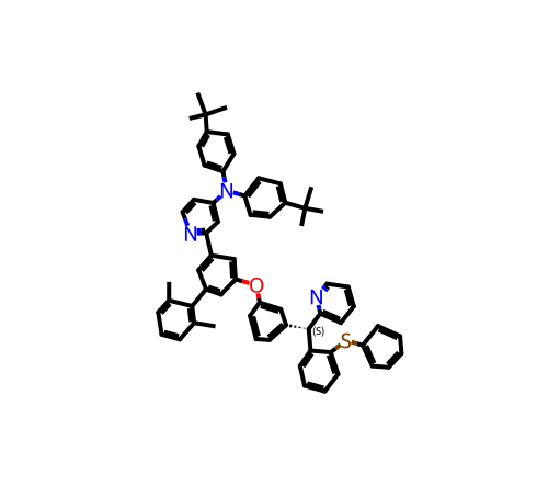 Cc1cccc(C)c1-c1cc(Oc2cccc([C@H](c3ccccn3)c3ccccc3Sc3ccccc3)c2)cc(-c2cc(N(c3ccc(C(C)(C)C)cc3)c3ccc(C(C)(C)C)cc3)ccn2)c1